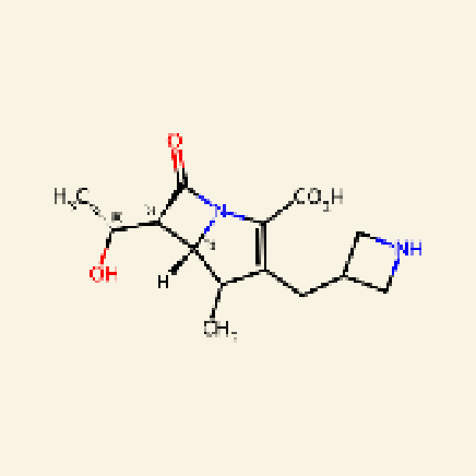 CC1C(CC2CNC2)=C(C(=O)O)N2C(=O)[C@H]([C@@H](C)O)[C@@H]12